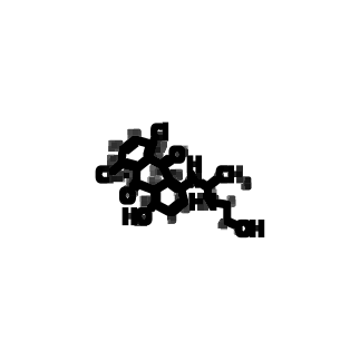 CC(NCCO)Nc1ccc(O)c2c1C(=O)c1c(Cl)ccc(Cl)c1C2=O